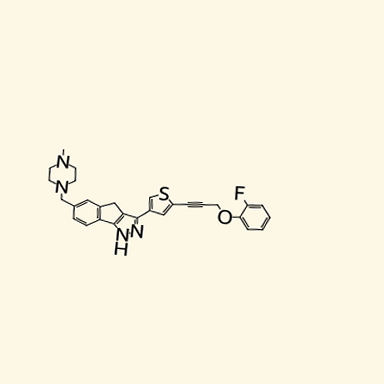 CN1CCN(Cc2ccc3c(c2)Cc2c(-c4csc(C#CCOc5ccccc5F)c4)n[nH]c2-3)CC1